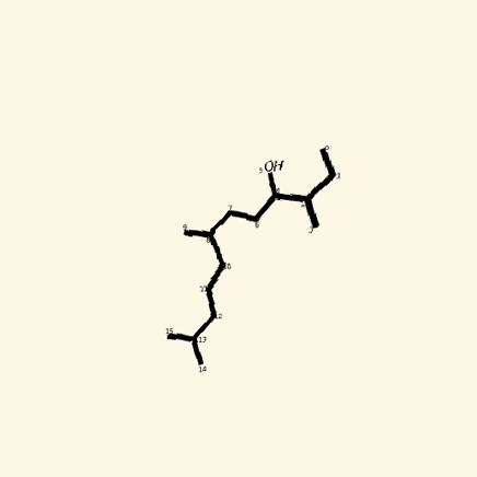 CCC(C)C(O)CCC(C)CCCC(C)C